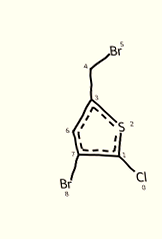 Clc1sc(CBr)cc1Br